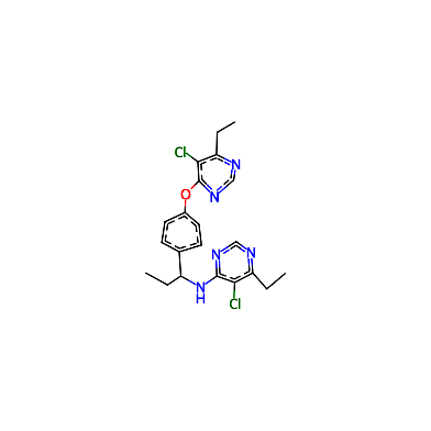 CCc1ncnc(NC(CC)c2ccc(Oc3ncnc(CC)c3Cl)cc2)c1Cl